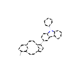 Cc1ccc2ccc3c(-c4ccc5c(c4)c4ccccc4n5-c4ccccc4)ccc(ccc1c2)c3C